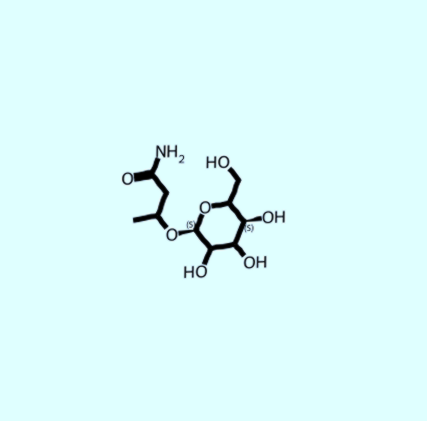 CC(CC(N)=O)O[C@H]1OC(CO)[C@@H](O)C(O)C1O